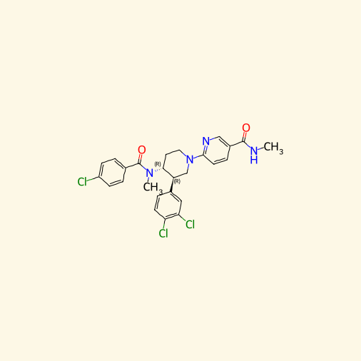 CNC(=O)c1ccc(N2CC[C@@H](N(C)C(=O)c3ccc(Cl)cc3)[C@H](c3ccc(Cl)c(Cl)c3)C2)nc1